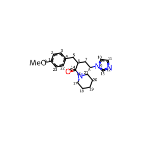 COc1ccc(CC(CCn2ccnc2)C(=O)N2CCCCC2)cc1